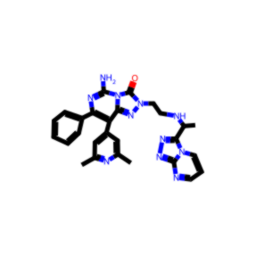 Cc1cc(-c2c(-c3ccccc3)nc(N)n3c(=O)n(CCNC(C)c4nnc5ncccn45)nc23)cc(C)n1